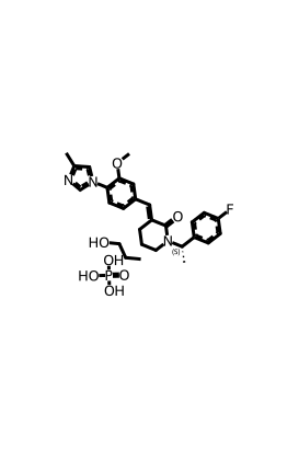 CCCO.COc1cc(C=C2CCCN([C@@H](C)c3ccc(F)cc3)C2=O)ccc1-n1cnc(C)c1.O=P(O)(O)O